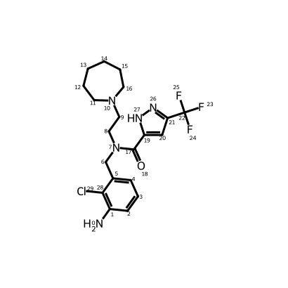 Nc1cccc(CN(CCN2CCCCCC2)C(=O)c2cc(C(F)(F)F)n[nH]2)c1Cl